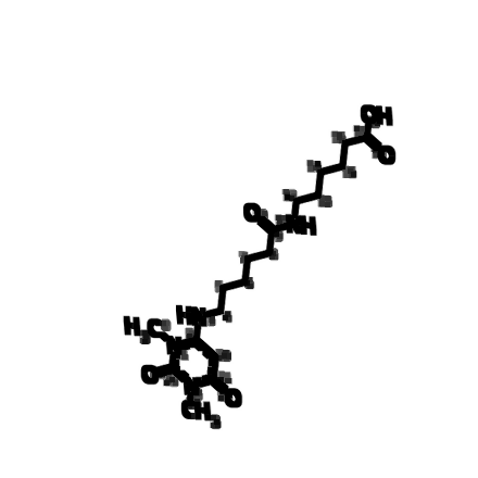 Cn1c(NCCCCCC(=O)NCCCCCC(=O)O)cc(=O)n(C)c1=O